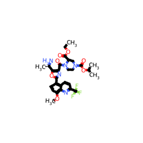 CCOC(=O)C1CN(C(=O)OC(C)C)CCN1C(=O)c1nc(-c2ccc(OC)c3nc(C(F)(F)F)ccc23)oc1[C@H](C)N